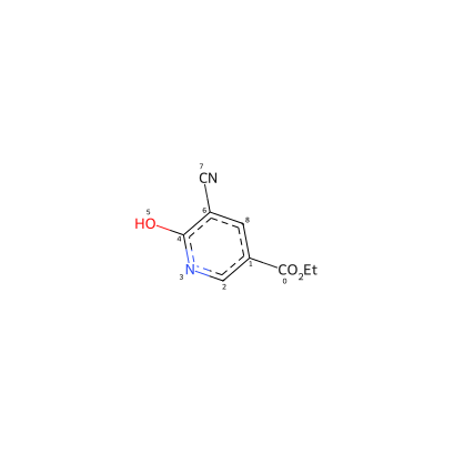 CCOC(=O)c1cnc(O)c(C#N)c1